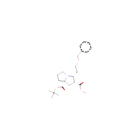 COC(=O)[C@H]1C[C@@]2(C(=O)OC(C)(C)C)CCCN2[C@H]1CCOCc1ccccc1